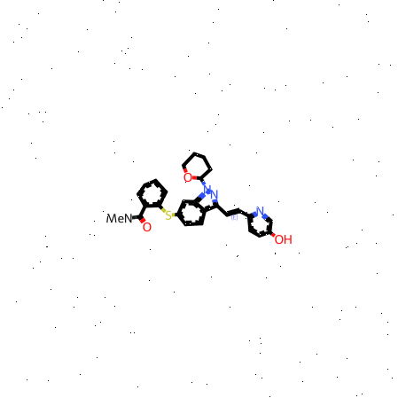 CNC(=O)c1ccccc1Sc1ccc2c(/C=C/c3ccc(O)cn3)nn(C3CCCCO3)c2c1